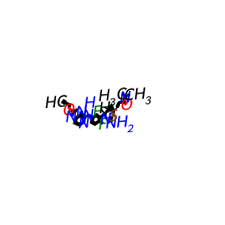 C#CCOc1cnc2c(Nc3ccc(F)c([C@@]4(CF)N=C(N)S[C@@]5(/C=C/C(=O)N(C)C)C[C@H]54)c3)nccc2n1